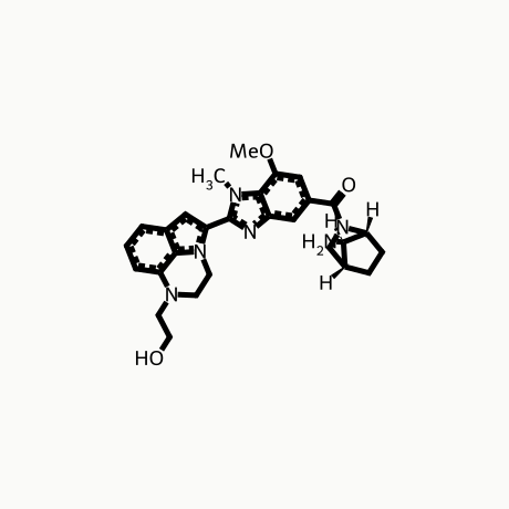 COc1cc(C(=O)N2C[C@H]3CC[C@@H]2[C@@H]3N)cc2nc(-c3cc4cccc5c4n3CCN5CCO)n(C)c12